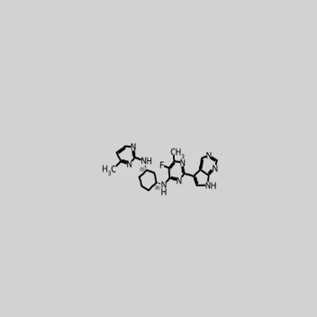 Cc1ccnc(N[C@H]2CCC[C@@H](Nc3nc(-c4c[nH]c5ncncc45)nc(C)c3F)C2)n1